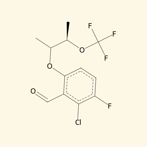 CC(Oc1ccc(F)c(Cl)c1C=O)[C@@H](C)OC(F)(F)F